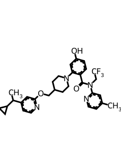 Cc1ccnc(N(CC(F)(F)F)C(=O)c2ccc(O)cc2N2CCC(COc3cc(C(C)C4CC4)ccn3)CC2)c1